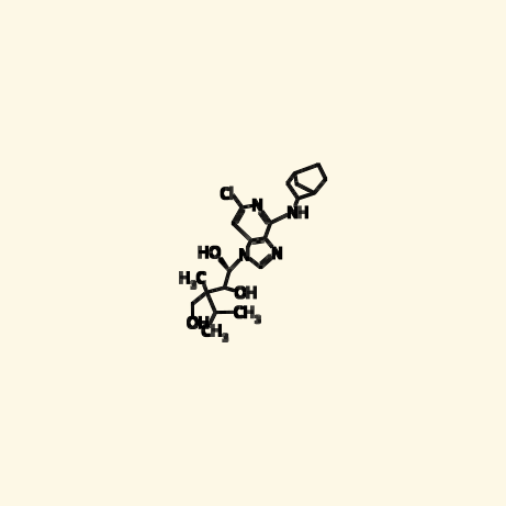 CC(C)C(C)(CO)C(O)[C@@H](O)n1cnc2c(NC3CC4CCC3C4)nc(Cl)cc21